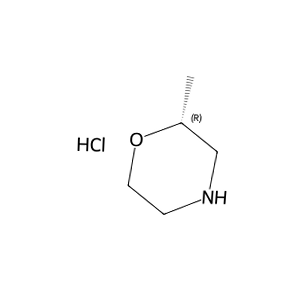 C[C@@H]1CNCCO1.Cl